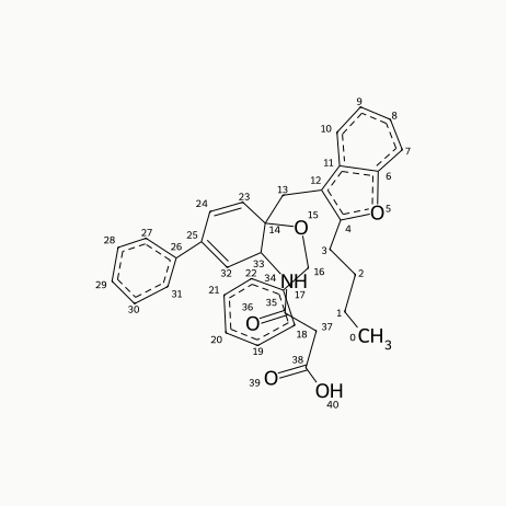 CCCCc1oc2ccccc2c1CC1(OCc2ccccc2)C=CC(c2ccccc2)=CC1NC(=O)CC(=O)O